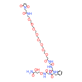 NC(=O)[C@H](O)CCOCNC(=O)CNC(=O)[C@H](Cc1ccccc1)NC(=O)CNC(=O)CNC(=O)CCOCCOCCOCCOCCOCCOCCOCCOCCNC(=O)CCN1C(=O)C=CC1=O